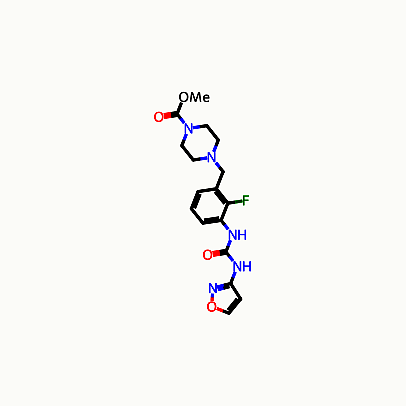 COC(=O)N1CCN(Cc2cccc(NC(=O)Nc3ccon3)c2F)CC1